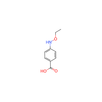 CCONc1ccc(C(=O)O)cc1